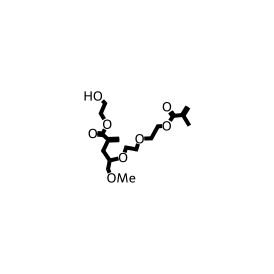 C=C(C)C(=O)OCCOCCOC(COC)CC(=C)C(=O)OCCO